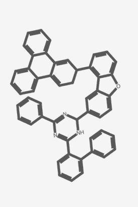 C1=c2c(c3ccccc3c3ccccc23)=CC(c2cccc3oc4ccc(C5N=C(c6ccccc6)N=C(c6ccccc6-c6ccccc6)N5)cc4c23)C1